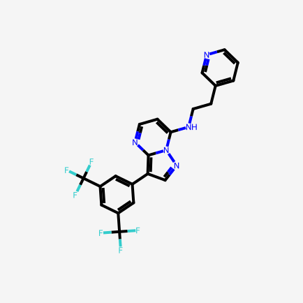 FC(F)(F)c1cc(-c2cnn3c(NCCc4cccnc4)ccnc23)cc(C(F)(F)F)c1